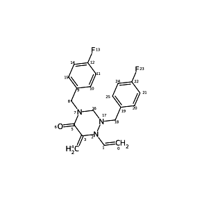 C=CN1C(=C)C(=O)N(Cc2ccc(F)cc2)CN1Cc1ccc(F)cc1